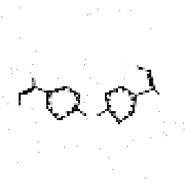 Cl/C=C(/Cl)c1ccc(Oc2ccc(/C(Cl)=C\Cl)cc2)cc1